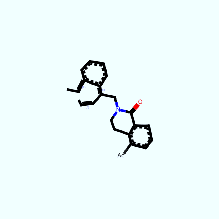 C\C=C/C(CN1CCc2c(C(C)=O)cccc2C1=O)=c1/cccc/c1=C\C